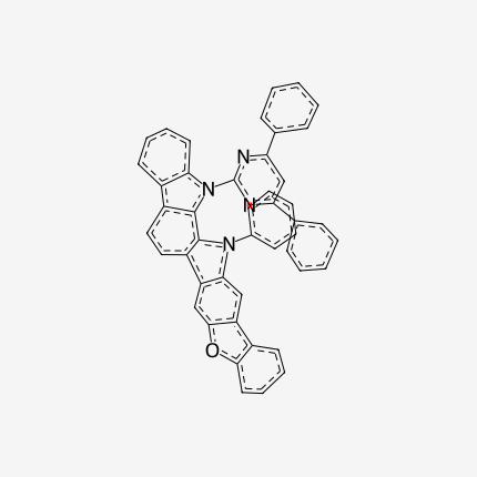 c1ccc(-c2cc(-c3ccccc3)nc(-n3c4ccccc4c4ccc5c6cc7oc8ccccc8c7cc6n(-c6ccccc6)c5c43)n2)cc1